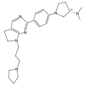 CN(C)[C@H]1CCN(c2ccc(-c3ncc4c(n3)N(CCCN3CCCC3)CC4)cc2)C1